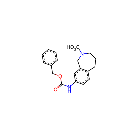 O=C(Nc1ccc2c(c1)CN(C(=O)O)CCC2)OCc1ccccc1